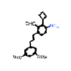 COc1cc(C/C=C/c2ccc(N)c(C3CCC3)c2C=O)cc(OC)c1